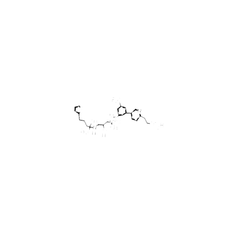 CN(CC(O)CNC(C)(C)CCCc1cccs1)S(=O)(=O)c1cc(-c2ccc(CCC(=O)O)nc2)cc(C(F)(F)F)c1